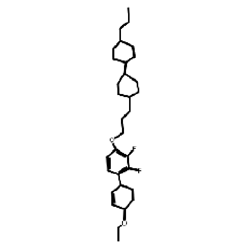 CCCC1CCC(C2CCC(CCCOc3ccc(C4C=CC(OCC)CC4)c(F)c3F)CC2)CC1